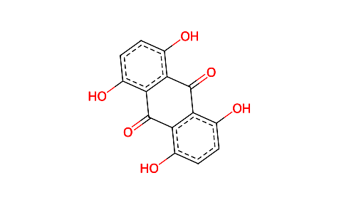 O=C1c2c(O)ccc(O)c2C(=O)c2c(O)ccc(O)c21